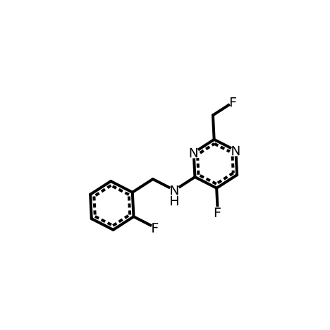 FCc1ncc(F)c(NCc2ccccc2F)n1